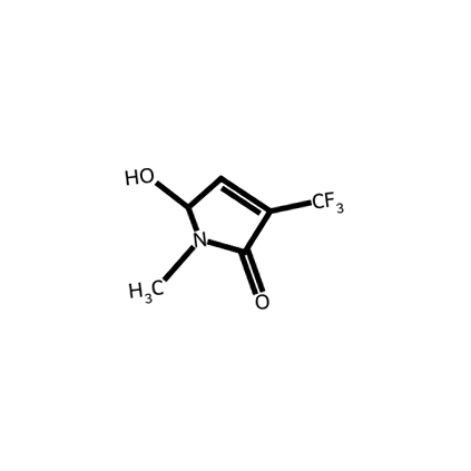 CN1C(=O)C(C(F)(F)F)=CC1O